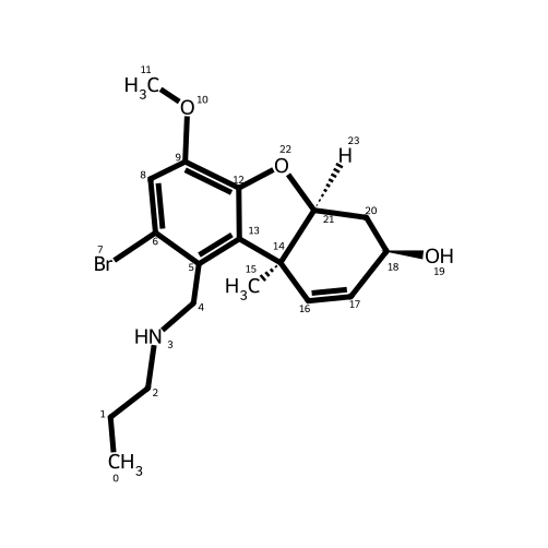 CCCNCc1c(Br)cc(OC)c2c1[C@]1(C)C=C[C@H](O)C[C@@H]1O2